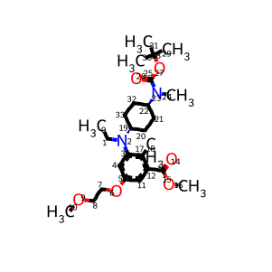 CCN(c1cc(OCCOC)cc(C(=O)OC)c1C)[C@H]1CC[C@H](N(C)C(=O)OC(C)(C)C)CC1